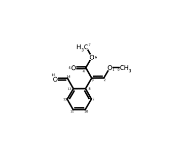 CO/C=C(\C(=O)OC)c1ccccc1C=O